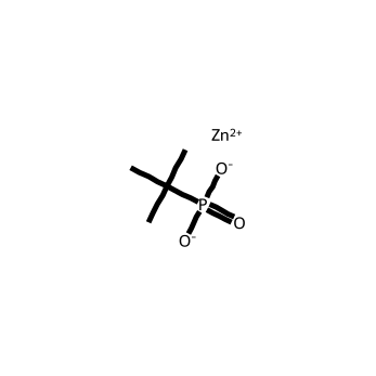 CC(C)(C)P(=O)([O-])[O-].[Zn+2]